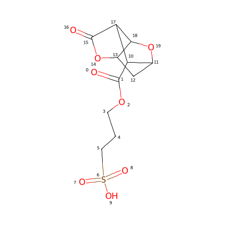 O=C(OCCCS(=O)(=O)O)C1C2CC3OC(=O)C1C3O2